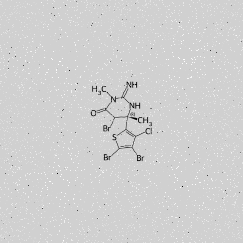 CN1C(=N)N[C@](C)(c2sc(Br)c(Br)c2Cl)C(Br)C1=O